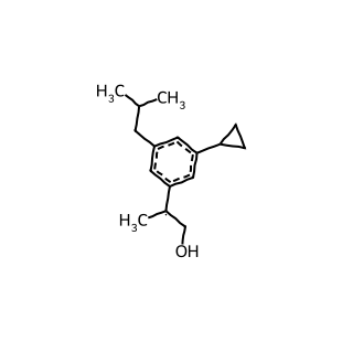 C[C](CO)c1cc(CC(C)C)cc(C2CC2)c1